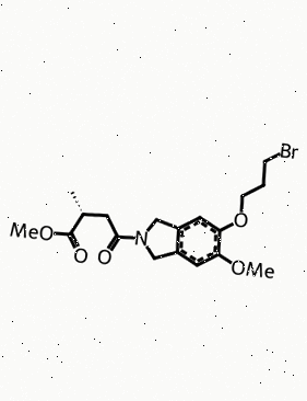 COC(=O)[C@H](C)CC(=O)N1Cc2cc(OC)c(OCCCBr)cc2C1